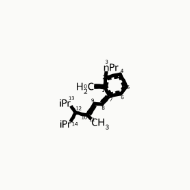 C=c1c(CCC)ccc/c1=C/C=C(\C)C(C(C)C)C(C)C